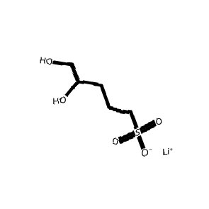 O=S(=O)([O-])CCCC(O)CO.[Li+]